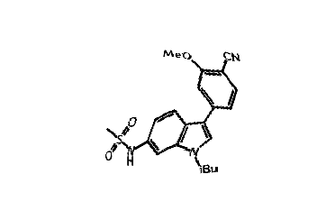 CCC(C)n1cc(-c2ccc(C#N)c(OC)c2)c2ccc(NS(C)(=O)=O)cc21